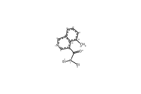 CCN(CC)C(=O)c1cncc2cccc(C)c12